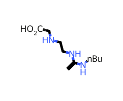 C=C(NCCCC)NCCNCC(=O)O